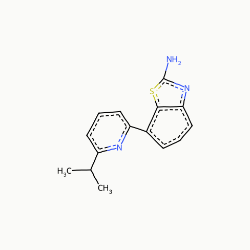 CC(C)c1cccc(-c2cccc3nc(N)sc23)n1